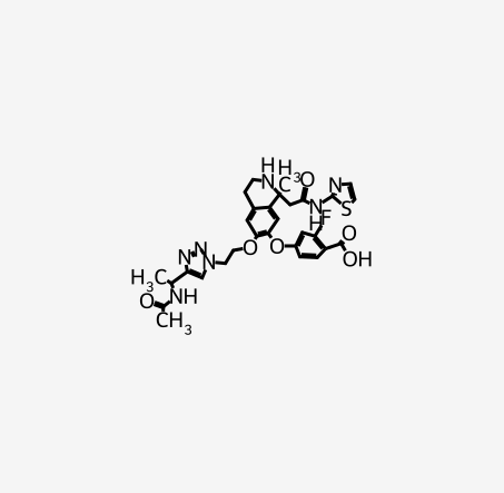 CC(=O)NC(C)c1cn(CCOc2cc3c(cc2Oc2ccc(C(=O)O)c(F)c2)C(C)(CC(=O)Nc2nccs2)NCC3)nn1